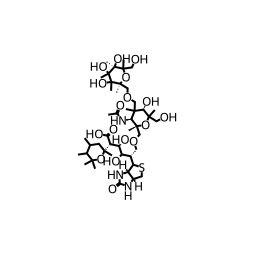 CC(=O)N[C@H]1C(C)(COC[C@]2(C)OC(C)(CO)[C@](C)(O)C(C)(O)C2(C)O)[C@H](O)C(C)(CO)O[C@]1(C)COC[C@H](C1SC[C@@H]2NC(=O)N[C@H]12)C(O)[C@H](O)[C@@H](C(=O)O)C1(C)CC(C)C(C)C(C)(C)O1